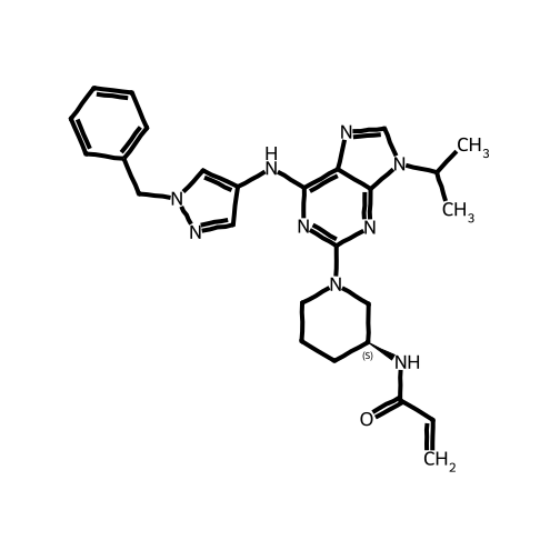 C=CC(=O)N[C@H]1CCCN(c2nc(Nc3cnn(Cc4ccccc4)c3)c3ncn(C(C)C)c3n2)C1